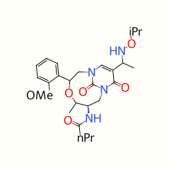 CCCC(=O)N[C@@H]1Cn2c(=O)c(C(C)NOC(C)C)cn(c2=O)CC(c2ccccc2OC)OC1C